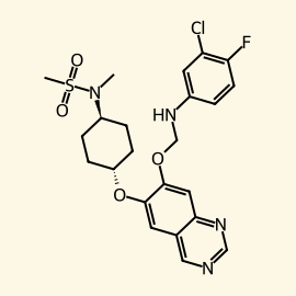 CN([C@H]1CC[C@H](Oc2cc3cncnc3cc2OCNc2ccc(F)c(Cl)c2)CC1)S(C)(=O)=O